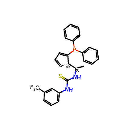 C[C@@H](NC(=S)Nc1cccc(C(F)(F)F)c1)[C@@H]1C=CC=C1P(c1ccccc1)c1ccccc1